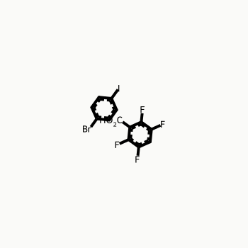 Brc1ccc(I)cc1.O=C(O)c1c(F)c(F)cc(F)c1F